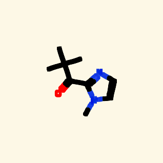 Cn1ccnc1C(=O)C(C)(C)C